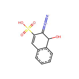 [N-]=[N+]=C1C(S(=O)(=O)O)=Cc2ccccc2C1O